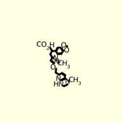 CN1CCNc2nc(CCOc3cc(CC(CC(=O)O)c4ccc5c(c4)OCO5)nn3C)ccc21